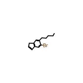 CCCCCc1cc2c(cc1Br)C=CC2